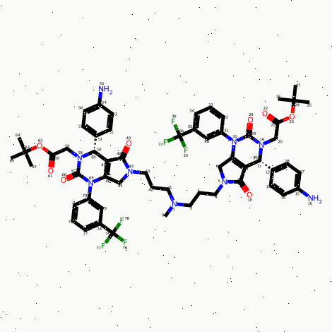 CN(CCCN1CC2=C(C1=O)[C@@H](c1ccc(N)cc1)N(CC(=O)OC(C)(C)C)C(=O)N2c1cccc(C(F)(F)F)c1)CCCN1CC2=C(C1=O)[C@@H](c1ccc(N)cc1)N(CC(=O)OC(C)(C)C)C(=O)N2c1cccc(C(F)(F)F)c1